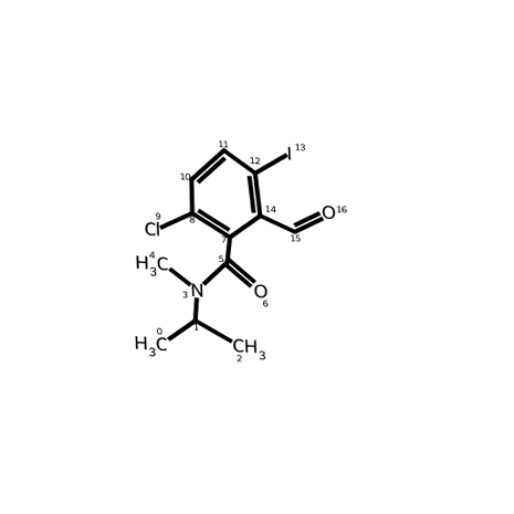 CC(C)N(C)C(=O)c1c(Cl)ccc(I)c1C=O